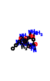 Cc1nc(-c2ccc(C3CCCCC3)cc2)ncc1C(=O)N[C@@H](CCN)C(=O)N(C)[C@@H]1C(=O)N[C@@H](C)C(=O)N[C@H](C(=O)NCC#N)Cc2ccc(OCCN)c(c2)-c2cc1ccc2OCCN